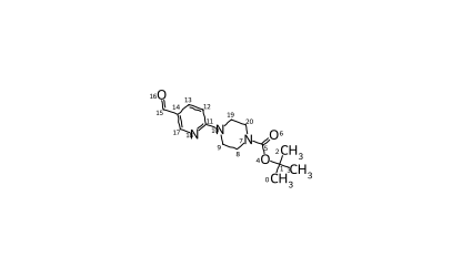 CC(C)(C)OC(=O)N1CCN(c2ccc(C=O)cn2)CC1